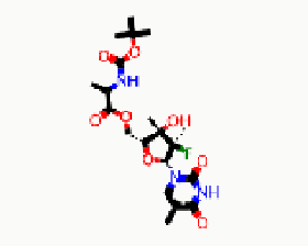 Cc1cn([C@@H]2O[C@H](COC(=O)C(C)NC(=O)OC(C)(C)C)[C@](C)(O)[C@@]2(C)F)c(=O)[nH]c1=O